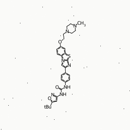 CN1CCN(CCOc2ccc3c(c2)sc2nc(-c4ccc(NC(=O)Nc5cc(C(C)(C)C)on5)cc4)cn23)CC1